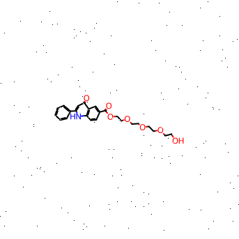 O=C(OCCOCCOCCOCCO)c1ccc2[nH]c(-c3ccccc3)cc(=O)c2c1